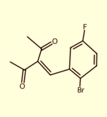 CC(=O)C(=Cc1cc(F)ccc1Br)C(C)=O